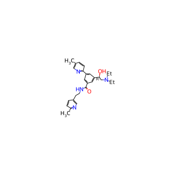 CCN(CC)C[C@H](O)c1cc(C(=O)NCCc2ccc(C)nc2)cc(-c2ccc(C)cn2)c1